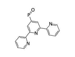 O=Pc1cc(-c2ccccn2)nc(-c2ccccn2)c1